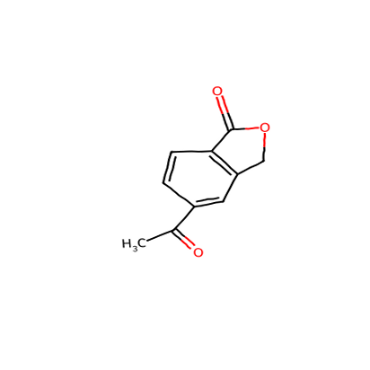 CC(=O)c1ccc2c(c1)COC2=O